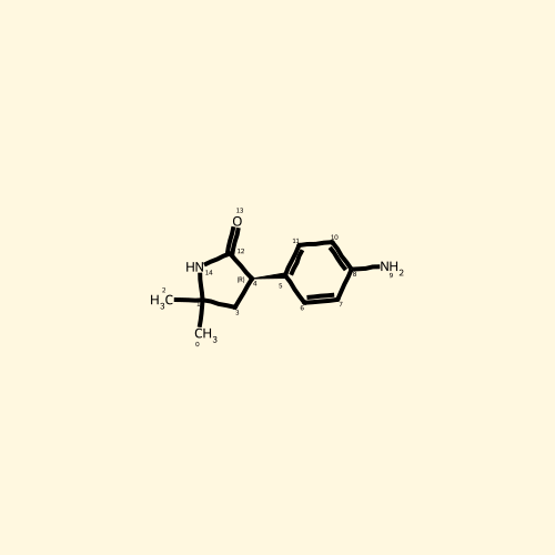 CC1(C)C[C@H](c2ccc(N)cc2)C(=O)N1